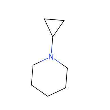 [CH]1CCCN(C2CC2)C1